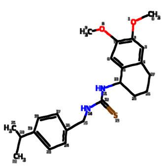 COc1cc2c(cc1OC)C(NC(=S)NCc1ccc(C(C)C)cc1)CCC2